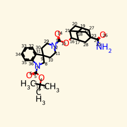 CC(C)(C)OC(=O)N1CC2(CCN(C(=O)OC3C4CC5CC3CC(C(N)=O)(C5)C4)CC2)c2ccccc21